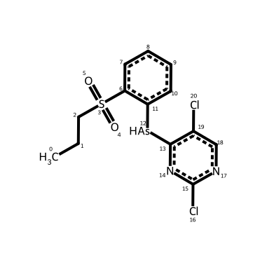 CCCS(=O)(=O)c1ccccc1[AsH]c1nc(Cl)ncc1Cl